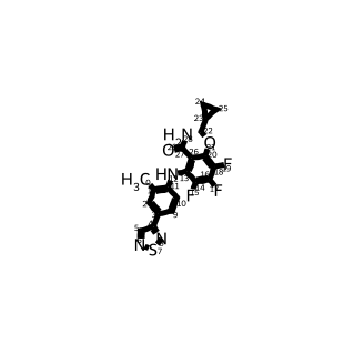 Cc1cc(-c2cnsn2)ccc1Nc1c(F)c(F)c(F)c(OCC2CC2)c1C(N)=O